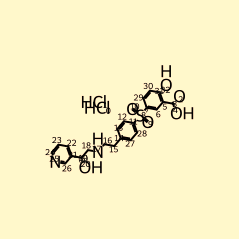 Cl.Cl.O=C(O)c1cc(S(=O)(=O)c2ccc(CCNC[C@@H](O)c3cccnc3)cc2)ccc1O